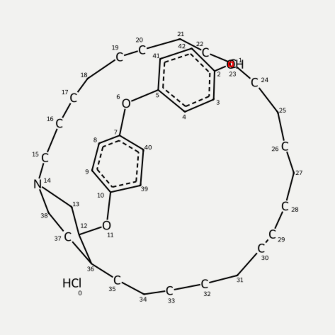 Cl.Oc1ccc(Oc2ccc(OC3CN4CCCCCCCCCCCCCCCCCCCCCC3CC4)cc2)cc1